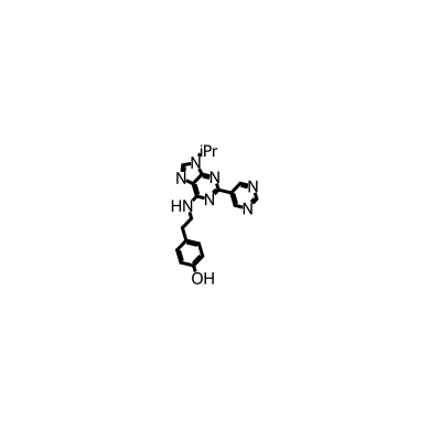 CC(C)n1cnc2c(NCCc3ccc(O)cc3)nc(-c3cncnc3)nc21